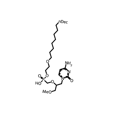 CCCCCCCCCCCCCCCCCCOCCOP(=O)(O)COC(COC)Cn1ccc(N)nc1=O